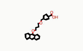 O=C(O)c1ccc(COCCCCOc2c3ccccc3cc3ccccc23)cc1